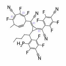 CCCCC(c1c(F)c(F)c(C#N)c(F)c1P)C1C(=C(/C#N)C2C#CC(C)/C(F)=C(C#N)\C(F)=C/2F)/C1=C(/C#N)c1c(F)c(F)c(C#N)c(F)c1F